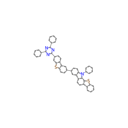 c1ccc(-c2nc(-c3ccccc3)nc(-c3ccc4c(c3)sc3ccc(-c5ccc6c(c5)c5ccc7c8ccccc8sc7c5n6-c5ccccc5)cc34)n2)cc1